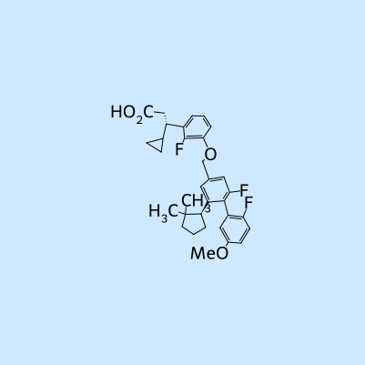 COc1ccc(F)c(-c2c(F)cc(COc3cccc([C@@H](CC(=O)O)C4CC4)c3F)cc2[C@H]2CCCC2(C)C)c1